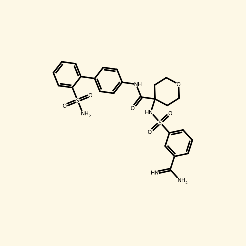 N=C(N)c1cccc(S(=O)(=O)NC2(C(=O)Nc3ccc(-c4ccccc4S(N)(=O)=O)cc3)CCOCC2)c1